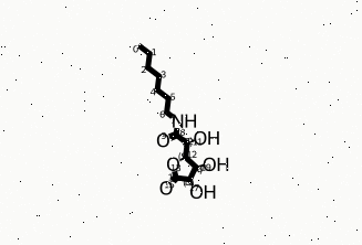 CCCCCCCNC(=O)[C@H](O)[C@H]1OC(=O)[C@@H](O)[C@H]1O